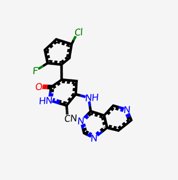 N#Cc1[nH]c(=O)c(-c2cc(Cl)ccc2F)cc1Nc1ncnc2ccncc12